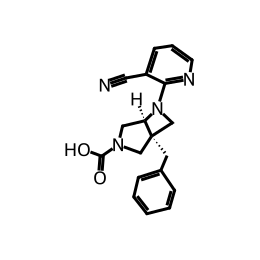 N#Cc1cccnc1N1C[C@@]2(Cc3ccccc3)CN(C(=O)O)C[C@@H]12